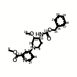 COC(=O)c1cc(N2CC[C@@H](NC(=O)OCc3ccccc3)[C@@H](OC)C2)ccn1